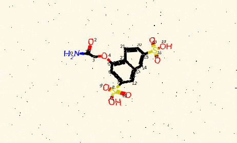 NC(=O)COc1cc(S(=O)(=O)O)cc2cc(S(=O)(=O)O)ccc12